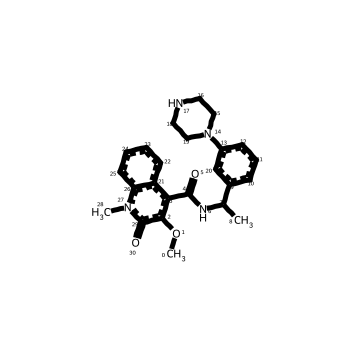 COc1c(C(=O)NC(C)c2cccc(N3CCNCC3)c2)c2ccccc2n(C)c1=O